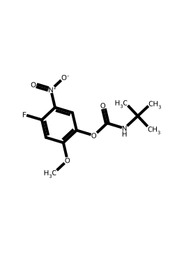 COc1cc(F)c([N+](=O)[O-])cc1OC(=O)NC(C)(C)C